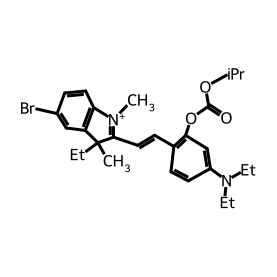 CCN(CC)c1ccc(/C=C/C2=[N+](C)c3ccc(Br)cc3C2(C)CC)c(OC(=O)OC(C)C)c1